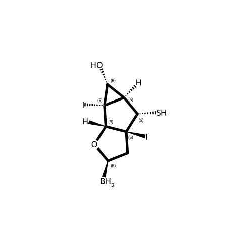 B[C@@H]1C[C@@]2(I)[C@@H](S)[C@@H]3[C@@H](O)[C@]3(I)[C@H]2O1